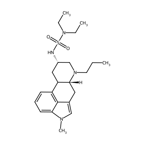 CCCN1C[C@@H](NS(=O)(=O)N(CC)CC)CC2c3cccc4c3c(cn4C)C[C@H]21